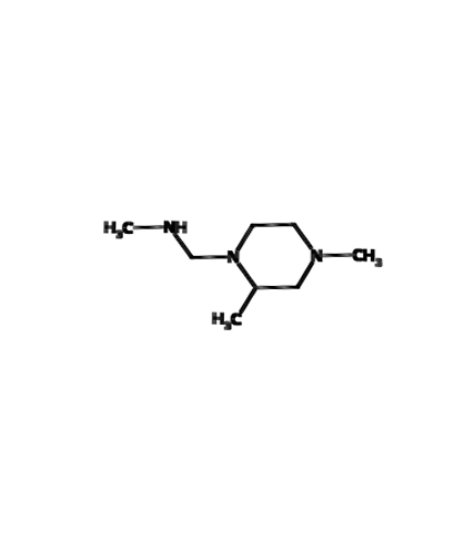 CNCN1CCN(C)CC1C